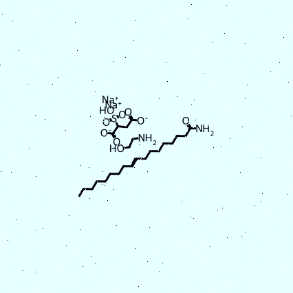 CCCCCCCCC=CCCCCCCCC(N)=O.NCCO.O=C([O-])CC(C(=O)[O-])S(=O)(=O)O.[Na+].[Na+]